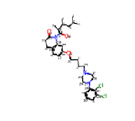 CC(C)CC(C)C(C)C(=O)N1C(=O)CCc2ccc(OCCCCN3CCN(c4cccc(Cl)c4Cl)CC3)cc21